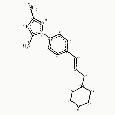 Nc1nc(N)n(-c2ccc(C=CCN3CCOCC3)cc2)n1